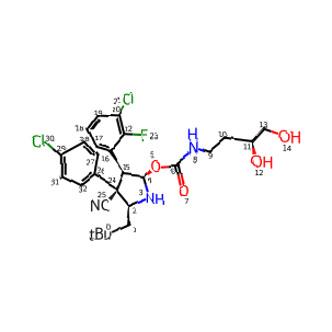 CC(C)(C)C[C@@H]1N[C@H](OC(=O)NCC[C@H](O)CO)[C@H](c2cccc(Cl)c2F)[C@@]1(C#N)c1ccc(Cl)cc1